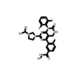 CCC(CC)N1CCN(c2nc(-c3cc(C(=O)NC(C)C)ccc3C)c3c(n2)N(c2c(F)cccc2F)C(=O)NC3)C1